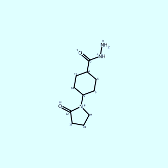 NNC(=O)C1CCC(N2CCCC2=O)CC1